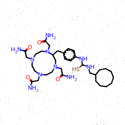 NC(=O)CN1CCN(CC(N)=O)CCN(CC(N)=O)C(Cc2ccc(NC(S)NCC3CCCCCCCC3)cc2)CN(CC(N)=O)CC1